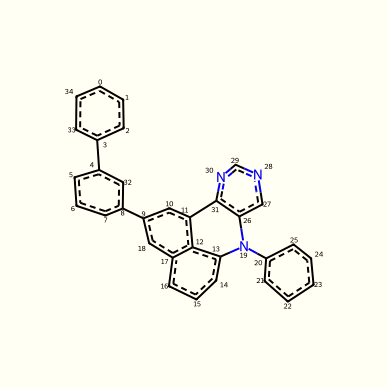 c1ccc(-c2cccc(-c3cc4c5c(cccc5c3)N(c3ccccc3)c3cncnc3-4)c2)cc1